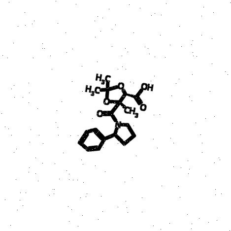 CC1(C)O[C@@H](C(=O)O)[C@](C)(C(=O)N2CCCC2c2ccccc2)O1